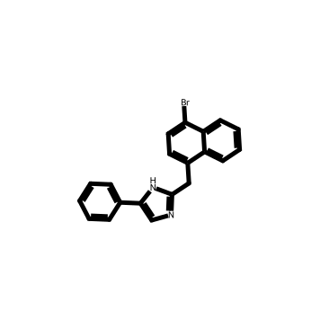 Brc1ccc(Cc2ncc(-c3ccccc3)[nH]2)c2ccccc12